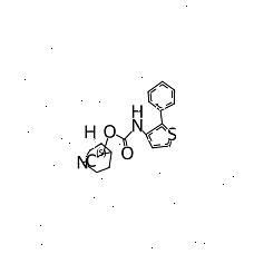 O=C(Nc1ccsc1-c1ccccc1)O[C@@H]1CN2CCC1CC2